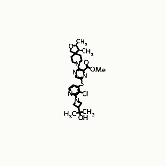 COC(=O)c1nc(Sc2ccnc(N3CC(C(C)(C)O)C3)c2Cl)cnc1N1CCC2(CC1)CO[C@@H](C)[C@H]2C